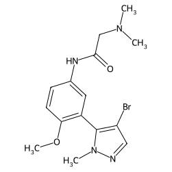 COc1ccc(NC(=O)CN(C)C)cc1-c1c(Br)cnn1C